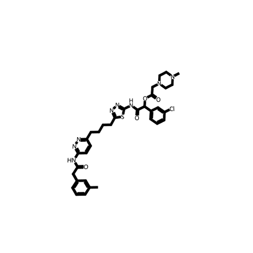 Cc1cccc(CC(=O)Nc2ccc(CCCCc3nnc(NC(=O)C(OC(=O)CN4CCN(C)CC4)c4cccc(Cl)c4)s3)nn2)c1